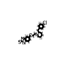 S=C1N=c2ccc(OCCN3CCCCC3Cc3ccc(Cl)cc3)cc2=N1